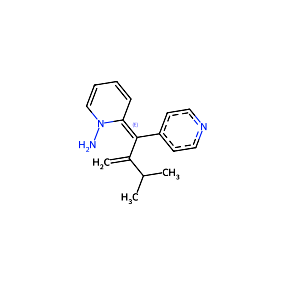 C=C(/C(=C1/C=CC=CN1N)c1ccncc1)C(C)C